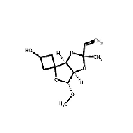 C=C[C@]1(C)O[C@H]2[C@H](OC)OC3(CC(O)C3)[C@H]2O1